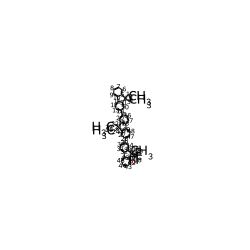 CCC1(CC)c2ccccc2-c2ccc(-c3ccc4c(c3)C(CC)(CC)c3cc(-c5ccc6c(c5)C(C)(C(F)(F)F)c5ccccc5-6)ccc3-4)cc21